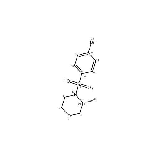 C[C@@H]1COCCN1S(=O)(=O)c1ccc(Br)cc1